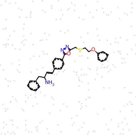 NC(C=Cc1ccc(-c2nnc(CSCCOc3ccccc3)o2)cc1)Cc1ccccc1